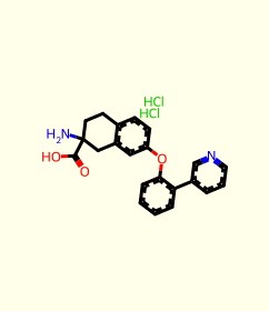 Cl.Cl.NC1(C(=O)O)CCc2ccc(Oc3ccccc3-c3cccnc3)cc2C1